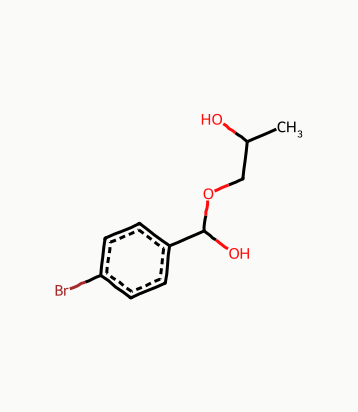 CC(O)COC(O)c1ccc(Br)cc1